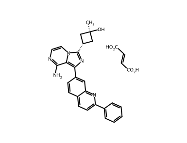 C[C@]1(O)C[C@H](c2nc(-c3ccc4ccc(-c5ccccc5)nc4c3)c3c(N)nccn32)C1.O=C(O)C=CC(=O)O